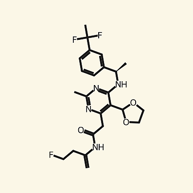 C=C(CCF)NC(=O)Cc1nc(C)nc(N[C@H](C)c2cccc(C(C)(F)F)c2)c1C1OCCO1